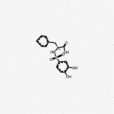 O=C(O)[C@H](Cc1ccccc1)NS(=O)(=O)c1ccc(O)c(O)c1